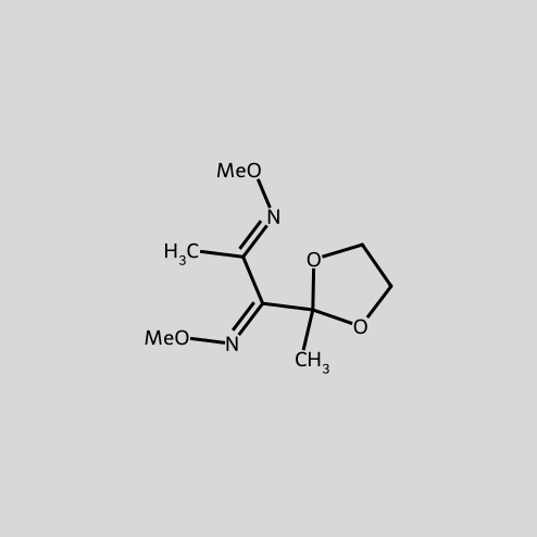 CON=C(C)C(=NOC)C1(C)OCCO1